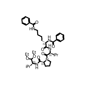 CCOC(OCC)[C@@H](NC(=O)[C@@H]1CCCN1C(=O)[C@@H](NC(=O)[C@H](CCCCNC(=O)c1ccccc1)NC(=O)c1ccccc1)C(C)C)C(C)C